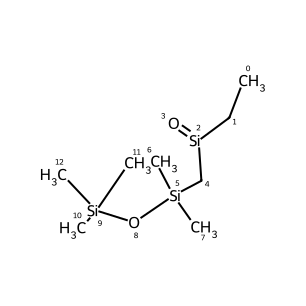 CC[Si](=O)C[Si](C)(C)O[Si](C)(C)C